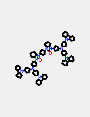 O=c1n(-c2ccc(N(c3ccc(-n4c5ccccc5c5ccccc54)cc3)c3ccc(-n4c5ccccc5c5ccccc54)cc3)cc2)c2ccccc2n1-c1ccc(-n2c(=O)n(-c3ccc(N(c4ccc(-n5c6ccccc6c6ccccc65)cc4)c4ccc(-n5c6ccccc6c6ccccc65)cc4)cc3)c3ccccc32)cc1